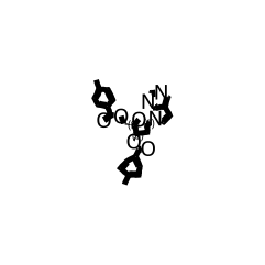 Cc1ccc(C(=O)OC[C@@H]2O[C@H](n3ccc4cncnc43)C[C@@H]2OC(=O)c2ccc(C)cc2)cc1